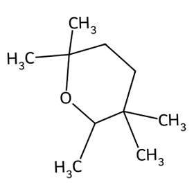 CC1OC(C)(C)CCC1(C)C